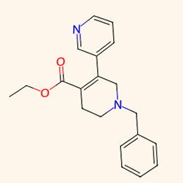 CCOC(=O)C1=C(c2cccnc2)CN(Cc2ccccc2)CC1